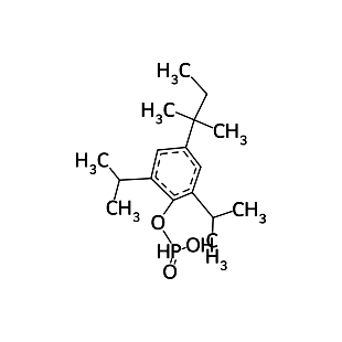 CCC(C)(C)c1cc(C(C)C)c(O[PH](=O)O)c(C(C)C)c1